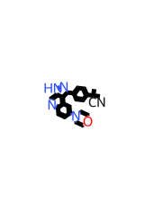 CC(C)(C#N)c1ccc(-c2n[nH]c3cnc4ccc(N5CCOCC5)cc4c23)cc1